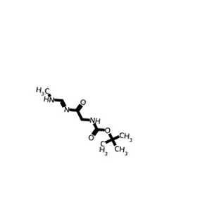 CN/C=N/C(=O)CNC(=O)OC(C)(C)C